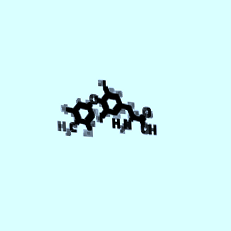 Cc1c(I)cc(Oc2c(I)cc(C[C@H](N)C(=O)O)cc2I)cc1I